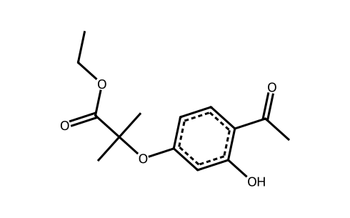 CCOC(=O)C(C)(C)Oc1ccc(C(C)=O)c(O)c1